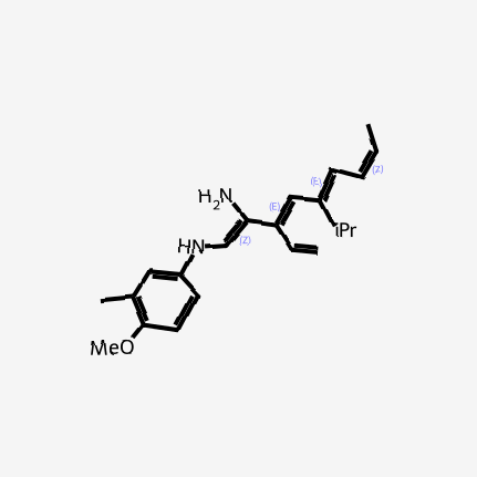 C=CC(=C\C(=C\C=C/C)C(C)C)/C(N)=C/Nc1ccc(OC)c(C)c1